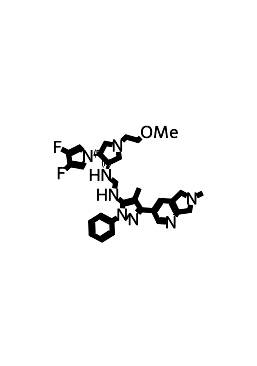 COCCN1C[C@@H](n2cc(F)c(F)c2)[C@H](NCNc2c(C)c(-c3cnc4c(c3)CN(C)C4)nn2-c2ccccc2)C1